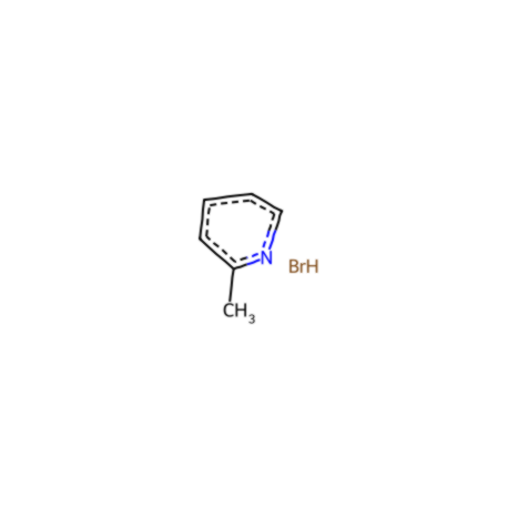 Br.Cc1ccccn1